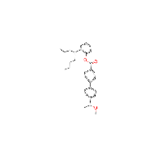 CCCCC(CCC)c1ccccc1OC(=O)c1ccc(-c2ccc(C(C)OC)cc2)cc1